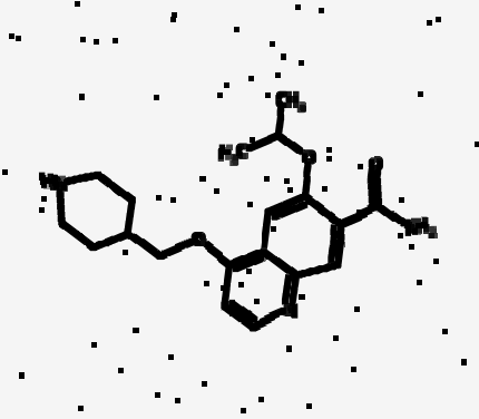 CC(C)Oc1cc2c(OCC3CCNCC3)ccnc2cc1C(N)=O